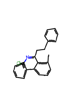 C=C(Cl)/N=C(/CCc1ccccc1)c1c(C)cccc1-c1ccccc1